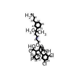 CC(C)(C/C=C/COC(=O)C1C(C(=O)O)C2N(CCC2(F)F)C12C(=O)Nc1c(Cl)cc(Cl)cc12)c1cccc(CCN)c1